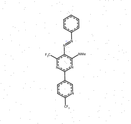 CNc1nc(-c2ccc(C(F)(F)F)nc2)nc(C(F)(F)F)c1/N=N/c1ccccc1